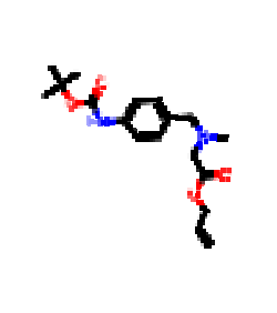 C=CCOC(=O)CN(C)Cc1ccc(NC(=O)OC(C)(C)C)cc1